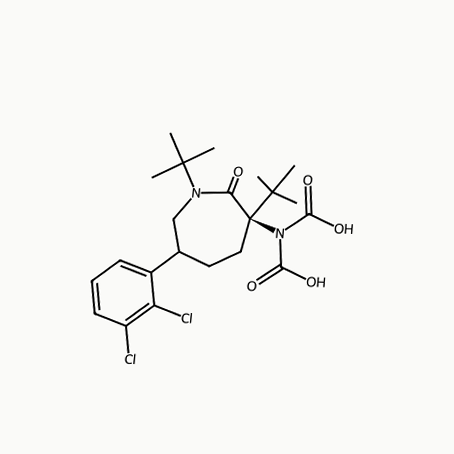 CC(C)(C)N1CC(c2cccc(Cl)c2Cl)CC[C@@](N(C(=O)O)C(=O)O)(C(C)(C)C)C1=O